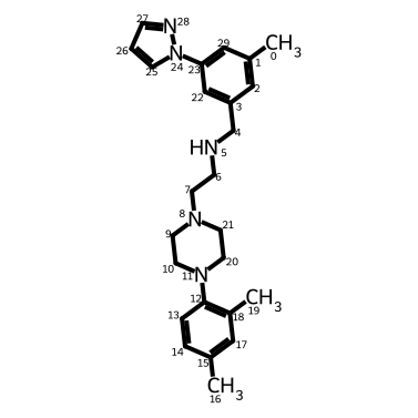 Cc1cc(CNCCN2CCN(c3ccc(C)cc3C)CC2)cc(-n2cccn2)c1